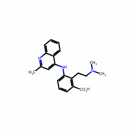 Cc1cc(Nc2cccc(C(=O)O)c2CCN(C)C)c2ccccc2n1